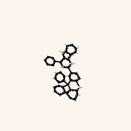 c1ccc(-c2nc(-c3ccc4c(c3)C(c3ccccc3)(c3ccccc3)c3ccccc3S4)nc3c2oc2ccccc23)cc1